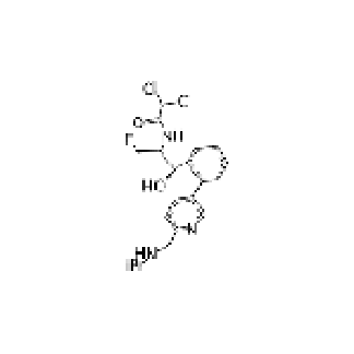 CC(C)NCc1ccc(-c2ccccc2[C@@H](O)[C@@H](CF)NC(=O)C(Cl)Cl)cn1